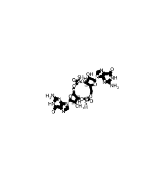 C[C@@H]1[C@@H]2OP(=O)(S)OCC3O[C@@H](n4cnc5c(=O)[nH]c(N)nc54)[C@H](O)[C@@H]3OP(=O)(S)OCC2O[C@H]1n1cnc2c(=O)[nH]c(N)nc21